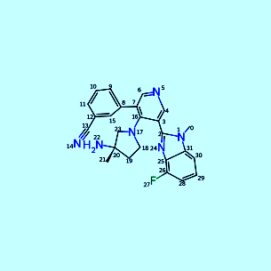 Cn1c(-c2cncc(-c3cccc(C#N)c3)c2N2CC[C@](C)(N)C2)nc2c(F)cccc21